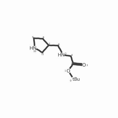 CC(C)(C)OC(=O)CNCC1CCNC1